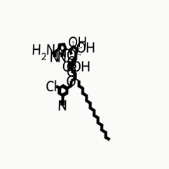 CCCCCCCCCCCCCCCCC[C@H](COP(=O)(O)OC[C@@]1(C)O[C@@H](C2CC=C3C(N)=NC=NN32)[C@H](O)[C@@H]1O)OCc1cc(Cl)cc(C#N)c1